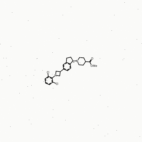 COC(=O)C1CCN([C@@H]2CCc3cc(C4CN(c5c(Cl)cccc5Cl)C4)ccc32)CC1